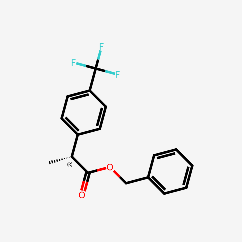 C[C@@H](C(=O)OCc1ccccc1)c1ccc(C(F)(F)F)cc1